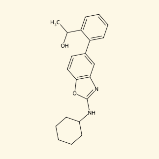 CC(O)c1ccccc1-c1ccc2oc(NC3CCCCC3)nc2c1